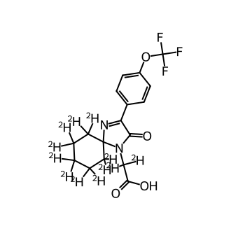 [2H]C([2H])(C(=O)O)N1C(=O)C(c2ccc(OC(F)(F)F)cc2)=NC12C([2H])([2H])C([2H])([2H])C([2H])([2H])C([2H])([2H])C2([2H])[2H]